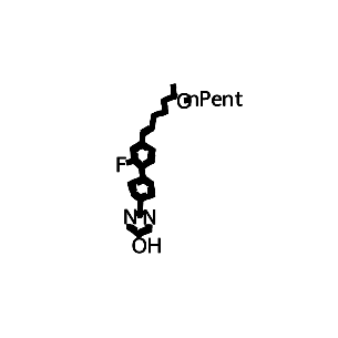 CCCCCOC(C)CCCC=Cc1ccc(-c2ccc(-c3ncc(O)cn3)cc2)c(F)c1